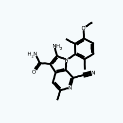 COc1ccc(C)c(-n2c(N)c(C(N)=O)c3cc(C)nc(C#N)c32)c1C